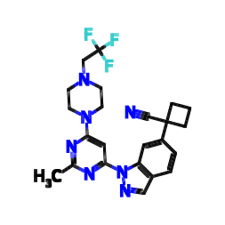 Cc1nc(N2CCN(CC(F)(F)F)CC2)cc(-n2ncc3ccc(C4(C#N)CCC4)cc32)n1